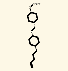 C=CCCC[C@H]1CC[C@H](CC[C@H]2CC[C@H](OCCCCC)CC2)CC1